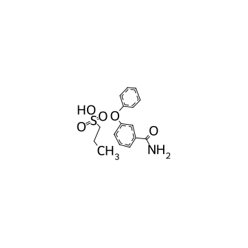 CCCS(=O)(=O)O.NC(=O)c1cccc(Oc2ccccc2)c1